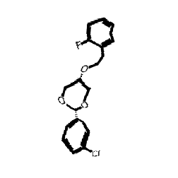 Fc1ccccc1CO[C@H]1CO[C@@H](c2cccc(Cl)c2)OC1